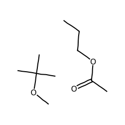 CCCOC(C)=O.COC(C)(C)C